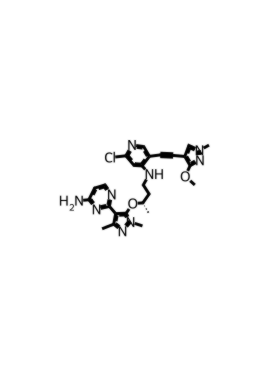 COc1nn(C)cc1C#Cc1cnc(Cl)cc1NCC[C@H](C)Oc1c(-c2nccc(N)n2)c(C)nn1C